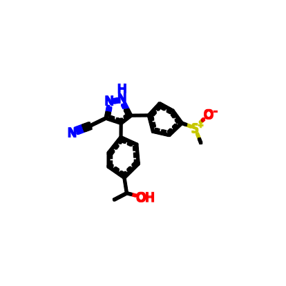 CC(O)c1ccc(-c2c(C#N)n[nH]c2-c2ccc([S+](C)[O-])cc2)cc1